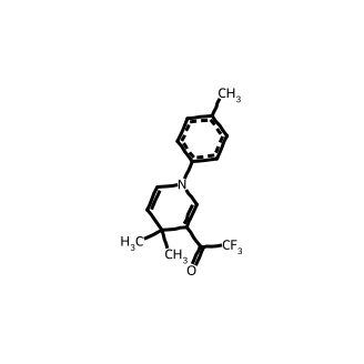 Cc1ccc(N2C=CC(C)(C)C(C(=O)C(F)(F)F)=C2)cc1